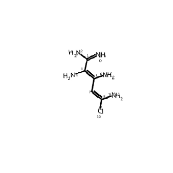 N=C(N)/C(N)=C(N)/C=C(\N)Cl